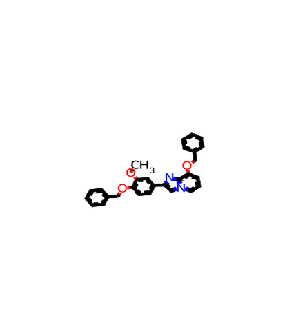 COc1cc(-c2cn3cccc(OCc4ccccc4)c3n2)ccc1OCc1ccccc1